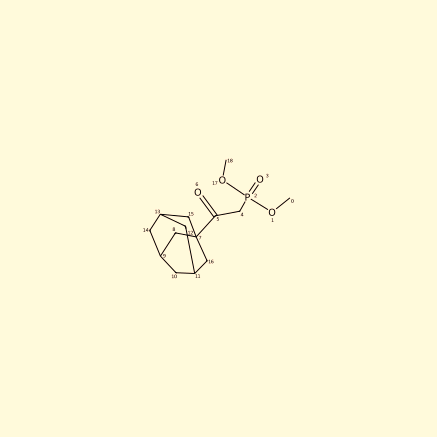 COP(=O)(CC(=O)C12CC3CC(CC(C3)C1)C2)OC